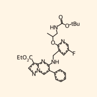 CCOC(=O)c1cnn2cc(-c3ccccc3)c(NCc3cc(F)cnc3OC(C)CNC(=O)OC(C)(C)C)nc12